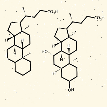 C[C@H](CCC(=O)O)[C@H]1CC[C@H]2[C@@H]3CCC4CCCC[C@]4(C)[C@H]3CC[C@]12C.C[C@H](CCC(=O)O)[C@H]1CC[C@H]2[C@@H]3[C@@H](O)C[C@@H]4C[C@H](O)CC[C@]4(C)[C@H]3CC[C@]12C